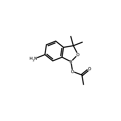 CC(=O)OB1OC(C)(C)c2ccc(N)cc21